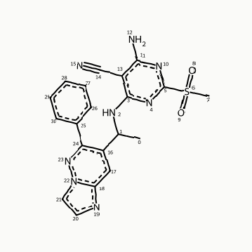 CC(Nc1nc(S(C)(=O)=O)nc(N)c1C#N)c1cc2nccn2nc1-c1ccccc1